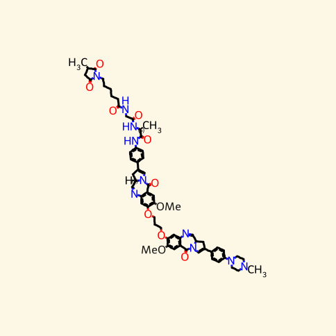 COc1cc2c(cc1OCCCOc1cc3c(cc1OC)C(=O)N1C=C(c4ccc(NC(=O)[C@H](C)NC(=O)CNC(=O)CCCCCN5C(=O)CC(C)C5=O)cc4)C[C@H]1C=N3)N=CC1CC(c3ccc(N4CCN(C)CC4)cc3)=CN1C2=O